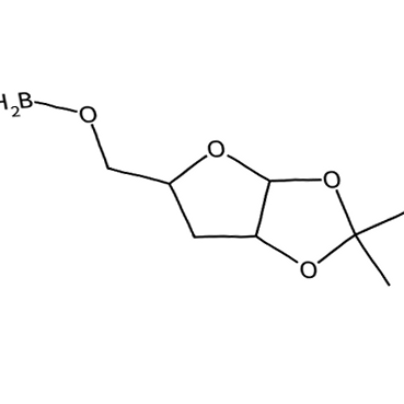 BOCC1CC2OC(C)(C)OC2O1